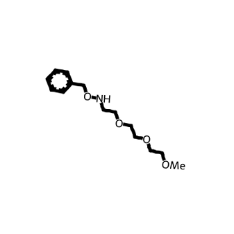 COCCOCCOCCNOCc1ccccc1